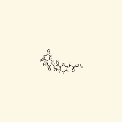 CC(=O)Nc1cccc(NC(C)c2cc3cc(Cl)cc(F)c3[nH]c2=O)c1